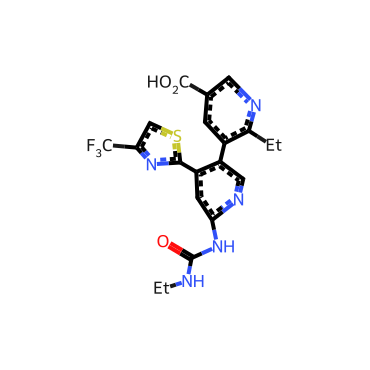 CCNC(=O)Nc1cc(-c2nc(C(F)(F)F)cs2)c(-c2cc(C(=O)O)cnc2CC)cn1